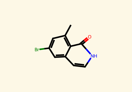 Cc1cc(Br)cc2cc[nH]c(=O)c12